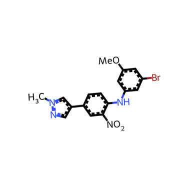 COc1cc(Br)cc(Nc2ccc(-c3cnn(C)c3)cc2[N+](=O)[O-])c1